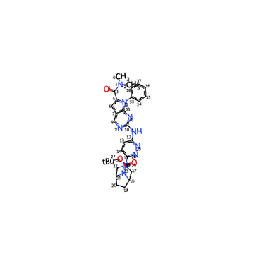 CN(C)C(=O)c1cc2cnc(Nc3ccc(N4CC5CCC(C4)N5C(=O)OC(C)(C)C)nn3)nc2n1-c1ccccc1